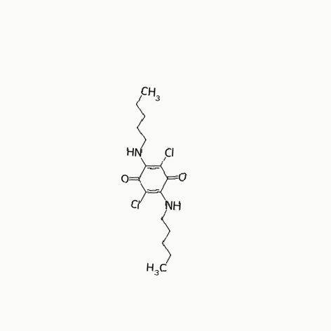 CCCCCNC1=C(Cl)C(=O)C(NCCCCC)=C(Cl)C1=O